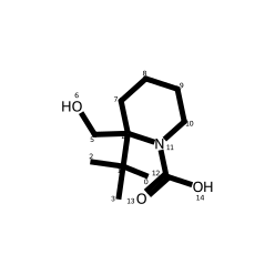 CC(C)(C)C1(CO)CCCCN1C(=O)O